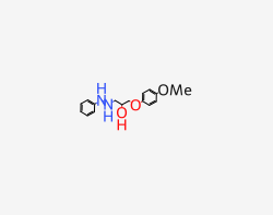 COc1ccc(OCC(O)CNNc2ccccc2)cc1